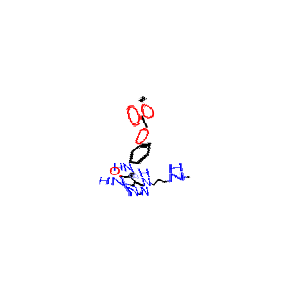 CCOC(=O)COc1cccc(N/C=C2\C(=O)Nc3ncnc(NCCCNC)c32)c1